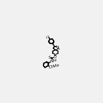 COc1ccccc1NC(=S)ON1CCC2(CC1)CC(c1ccc(Cl)cc1)=NO2